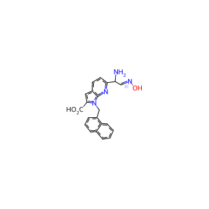 NC(/C=N/O)c1ccc2cc(C(=O)O)n(Cc3cccc4ccccc34)c2n1